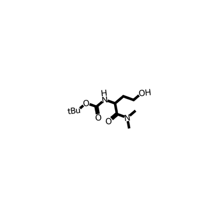 CN(C)C(=O)C(CCO)NC(=O)OC(C)(C)C